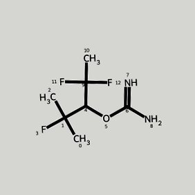 CC(C)(F)C(OC(=N)N)C(C)(F)F